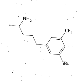 CCC(C)c1cc(CCC[C@H](C)N)cc(C(F)(F)F)c1